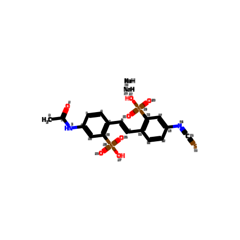 CC(=O)Nc1ccc(/C=C/c2ccc(N=C=S)cc2S(=O)(=O)O)c(S(=O)(=O)O)c1.[NaH].[NaH]